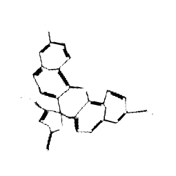 CC1=CC(=O)OC12c1ccc3cc(O)ccc3c1Oc1c2ccc2cc(O)ccc12